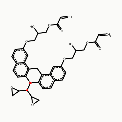 C=CC(=O)OCC(O)COc1ccc2ccc(OCC3CO3)c(Cc3c(OCC4CO4)ccc4ccc(OCC(O)COC(=O)C=C)cc34)c2c1